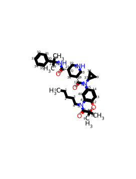 CCCCCN1C(=O)C(C)(C)Oc2ccc(N(C(=O)[C@H]3CNC[C@@H](C(=O)NC(C)(C)c4ccccc4)C3)C3CC3)cc21